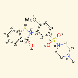 COc1ccc(S(=O)(=O)N2CCN(C)CC2)cc1-n1sc2ccccc2c1=O